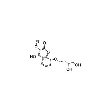 CCOc1c(O)c2cccc(OCCC(O)CO)c2oc1=O